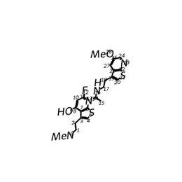 CNCCc1csc2c1c(O)cc(F)[n+]2C(C)NCCc1csc2ncc(OC)cc12